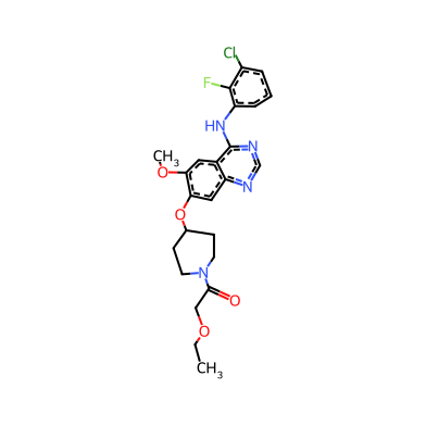 CCOCC(=O)N1CCC(Oc2cc3ncnc(Nc4cccc(Cl)c4F)c3cc2OC)CC1